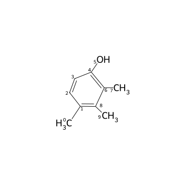 Cc1ccc(O)c(C)c1C